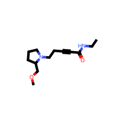 CCNC(=O)C#CCCN1CCCC1COC